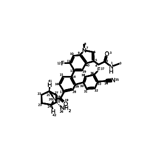 CNC(=O)Cc1cn(C)c2cc(F)c(-c3ccc(C(=O)N4[C@@H]5CC[C@H]4[C@@H](N)C5)cc3-c3ccc(C#N)c(F)c3)cc12